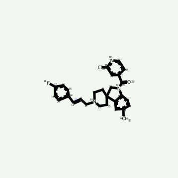 Cc1ccc2c(c1)C1(CCN(C/C=C/c3ccc(F)cc3)CC1)CN2C(=O)c1ccnc(Cl)c1